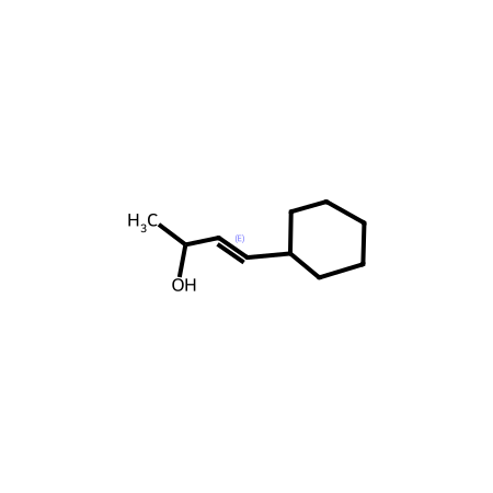 CC(O)/C=C/C1CCCCC1